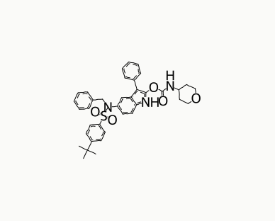 CC(C)(C)c1ccc(S(=O)(=O)N(Cc2ccccc2)c2ccc3[nH]c(OC(=O)NC4CCOCC4)c(-c4ccccc4)c3c2)cc1